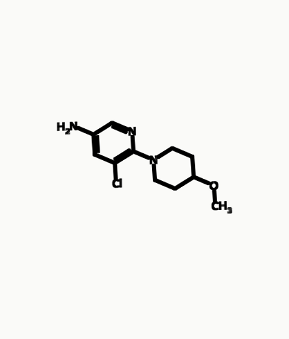 COC1CCN(c2ncc(N)cc2Cl)CC1